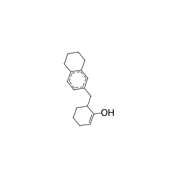 OC1=CCCCC1Cc1ccc2c(c1)CCCC2